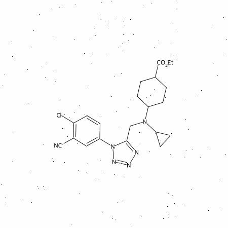 CCOC(=O)C1CCC(N(Cc2nnnn2-c2ccc(Cl)c(C#N)c2)C2CC2)CC1